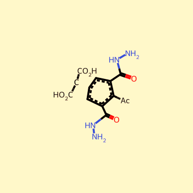 CC(=O)c1c(C(=O)NN)cccc1C(=O)NN.O=C(O)CC(=O)O